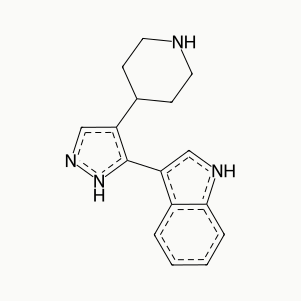 c1ccc2c(-c3[nH]ncc3C3CCNCC3)c[nH]c2c1